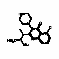 C[C@@H](c1nc2cccc(Cl)c2c(=O)n1N1CCNCC1)N(C(=O)O)C(C)(C)C